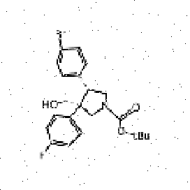 CC(C)(C)OC(=O)N1C[C@@H](c2ccc(Br)cc2)[C@](CO)(c2ccc(F)cc2)C1